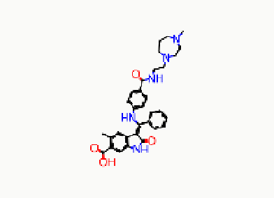 Cc1cc2c(cc1C(=O)O)NC(=O)C2=C(Nc1ccc(C(=O)NCCN2CCCN(C)CC2)cc1)c1ccccc1